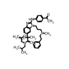 C=C(N(CC(C)C)CC(C)C)C(C)(C)c1ccc2nc(Nc3ccc(C(C)=O)cc3)n(CCCN(C)CCc3ccccc3)c2c1